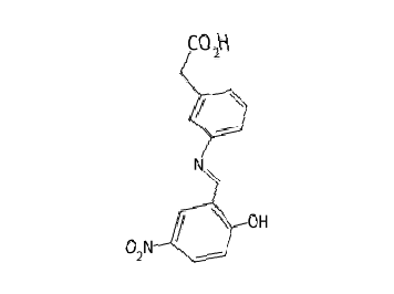 O=C(O)Cc1cccc(/N=C/c2cc([N+](=O)[O-])ccc2O)c1